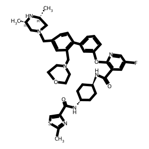 Cc1nc(C(=O)N[C@H]2CC[C@H](NC(=O)c3cc(F)cnc3Oc3cccc(-c4ccc(CN5C[C@@H](C)N[C@@H](C)C5)cc4CN4CCOCC4)c3)CC2)cs1